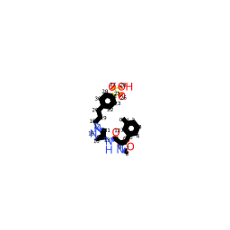 Cc1cccc(-c2ocnc2C(=O)Nc2cnn(CCCc3ccc(S(=O)(=O)O)cc3)c2)c1